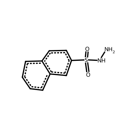 NNS(=O)(=O)c1ccc2ccccc2c1